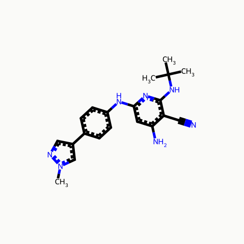 Cn1cc(-c2ccc(Nc3cc(N)c(C#N)c(NC(C)(C)C)n3)cc2)cn1